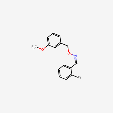 CCc1ccccc1/[C]=N\OCc1cccc(OC(F)(F)F)c1